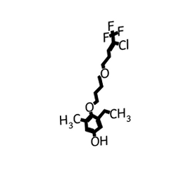 CCc1cc(O)cc(C)c1OCCCCOCCC=C(Cl)C(F)(F)F